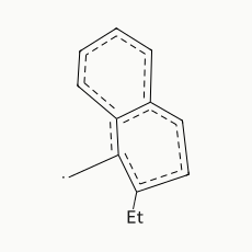 [CH2]c1c(CC)ccc2ccccc12